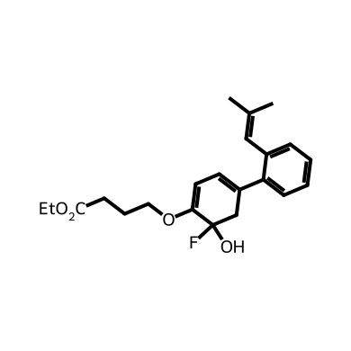 CCOC(=O)CCCOC1=CC=C(c2ccccc2C=C(C)C)CC1(O)F